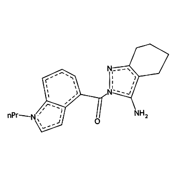 CCCn1ccc2c(C(=O)n3nc4c(c3N)CCCC4)cccc21